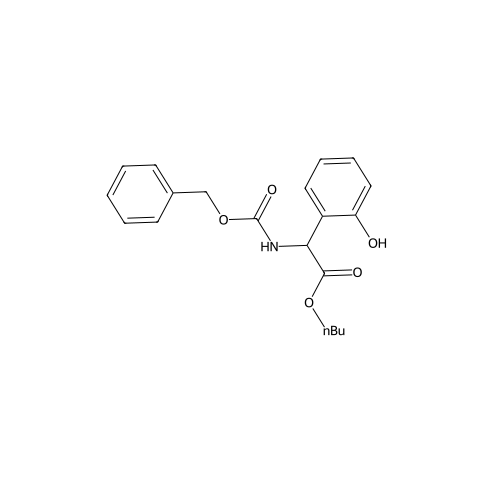 CCCCOC(=O)C(NC(=O)OCc1ccccc1)c1ccccc1O